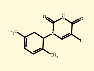 CC1=CC=C(C(F)(F)F)CC1n1cc(I)c(=O)[nH]c1=O